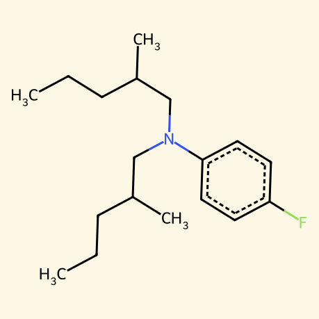 CCCC(C)CN(CC(C)CCC)c1ccc(F)cc1